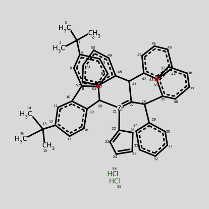 CC(C)(C)c1ccc2c(c1)-c1cc(C(C)(C)C)ccc1[CH]2[Zr]([C]1=CC=CC1)=[C](C(c1ccccc1)c1ccccc1)C(c1ccccc1)c1ccccc1.Cl.Cl